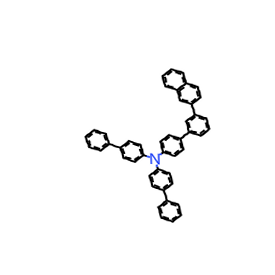 c1ccc(-c2ccc(N(c3ccc(-c4ccccc4)cc3)c3ccc(-c4cccc(-c5ccc6ccccc6c5)c4)cc3)cc2)cc1